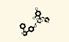 Clc1ccc([C@]2(Cn3ccnc3)OC[C@H](COc3ccc(-c4ccnn4-c4ccccc4)cc3)O2)c(Cl)c1